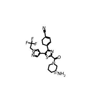 N#CC1=CC=C(c2nc(C(=O)N3CCC[C@@H](N)C3)sc2-c2cnn(CC(F)(F)F)c2)CC1